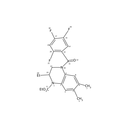 CCOC(=O)N1c2cc(C)c(C)cc2N(C(=O)c2cc(F)c(F)cc2F)CC1CC